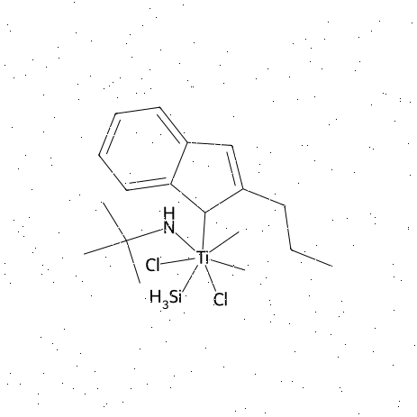 CCCC1=Cc2ccccc2[CH]1[Ti]([CH3])([CH3])([SiH3])([Cl])([Cl])[NH]C(C)(C)C